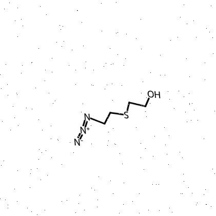 [N-]=[N+]=NCCSCCO